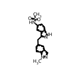 Cn1ncc2cc(Cc3n[nH]c4ccc(NS(C)(=O)=O)cc34)ccc21